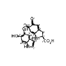 O=C1C=C2CC(C(=O)O)NC2=CC1=O.Oc1cc2cc[nH]c2cc1O